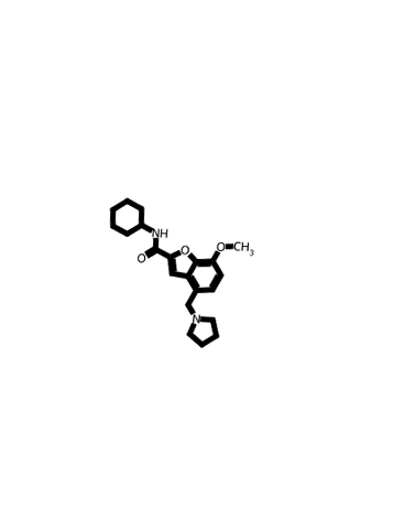 COc1ccc(CN2CCCC2)c2cc(C(=O)NC3CCCCC3)oc12